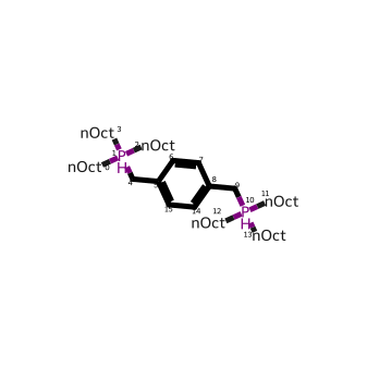 CCCCCCCC[PH](CCCCCCCC)(CCCCCCCC)Cc1ccc(C[PH](CCCCCCCC)(CCCCCCCC)CCCCCCCC)cc1